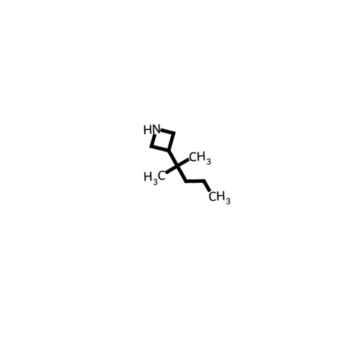 CCCC(C)(C)C1CNC1